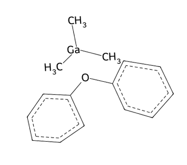 [CH3][Ga]([CH3])[CH3].c1ccc(Oc2ccccc2)cc1